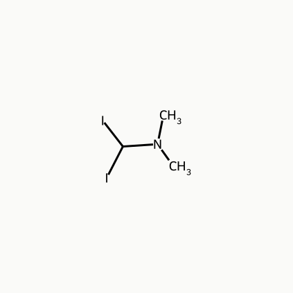 CN(C)C(I)I